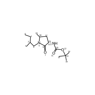 CCC(C)CN1C(=O)[C@@H](NC(=O)OC(C)(C)C)CC1C